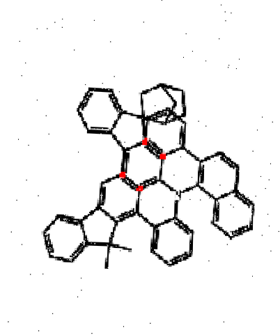 CC1(C)c2ccccc2-c2cccc(-c3ccccc3N(c3ccc4c(c3)C3(CC5CCC3C5)c3ccccc3-4)c3c(-c4ccccc4)ccc4ccccc34)c21